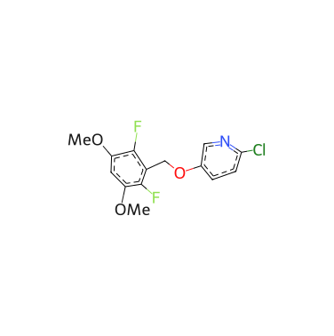 COc1cc(OC)c(F)c(COc2ccc(Cl)nc2)c1F